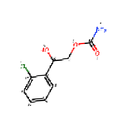 NC(=O)OCC(O)c1ccccc1Cl